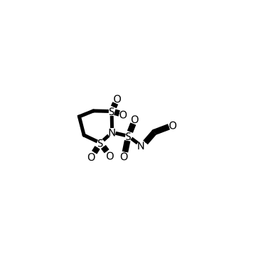 O=C=NS(=O)(=O)N1S(=O)(=O)CCCS1(=O)=O